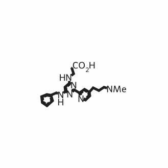 CNCCCc1ccnc(-c2nc(NCCC(=O)O)cc(NCc3ccccc3)n2)c1